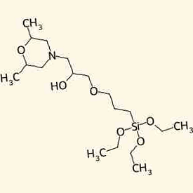 CCO[Si](CCCOCC(O)CN1CC(C)OC(C)C1)(OCC)OCC